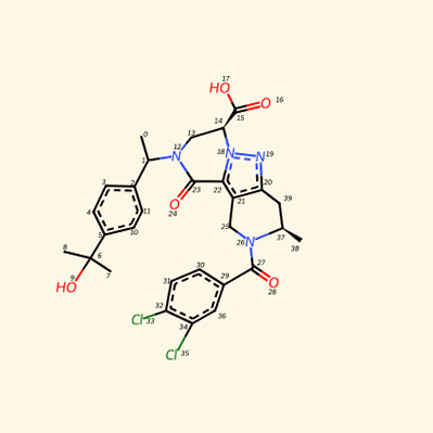 CC(c1ccc(C(C)(C)O)cc1)N1C[C@@H](C(=O)O)n2nc3c(c2C1=O)CN(C(=O)c1ccc(Cl)c(Cl)c1)[C@H](C)C3